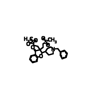 CS(=O)(=O)CCC1(CCS(C)(=O)=O)C(=O)c2ccccc2OC1C1CCN(Cc2ccccc2)CC1